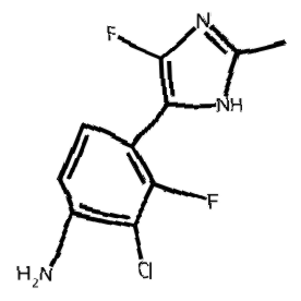 Cc1nc(F)c(-c2ccc(N)c(Cl)c2F)[nH]1